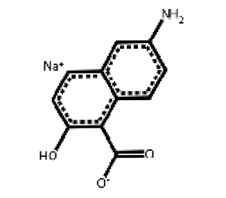 Nc1ccc2c(C(=O)[O-])c(O)ccc2c1.[Na+]